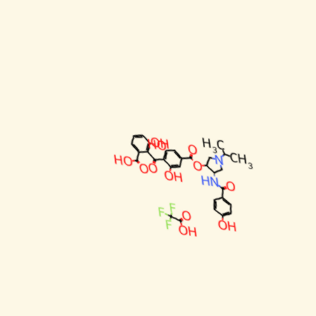 CC(C)N1CC(OC(=O)c2cc(O)c(C(=O)c3c(O)cccc3C(=O)O)c(O)c2)[C@@H](NC(=O)c2ccc(O)cc2)C1.O=C(O)C(F)(F)F